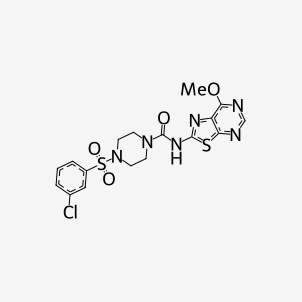 COc1ncnc2sc(NC(=O)N3CCN(S(=O)(=O)c4cccc(Cl)c4)CC3)nc12